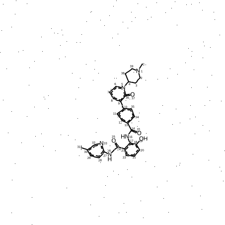 CN1CCC(n2cccc(-c3ccc(C(=O)Nc4c(O)cccc4C(=O)Nc4ccc(I)cn4)cc3)c2=O)CC1